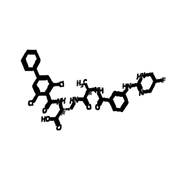 C[C@@H](NC(=O)c1cccc(NC2=NCC(F)CN2)c1)C(=O)NC[C@@H](NC(=O)c1c(Cl)cc(-c2ccccc2)cc1Cl)C(=O)O